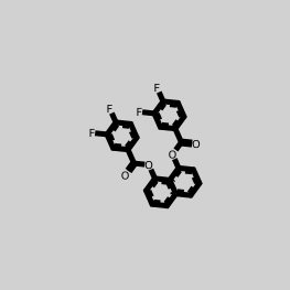 O=C(Oc1cccc2cccc(OC(=O)c3ccc(F)c(F)c3)c12)c1ccc(F)c(F)c1